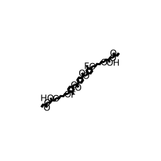 C=CC(=O)OCC(O)COCCCCOc1ccc(OC(=O)c2ccc(C(=O)Oc3ccc(OCCCCOCC(O)COC(=O)C=C)c(F)c3)cc2)cc1F